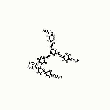 O=C(O)c1ccc(-c2ccc(C(=O)O)cc2)cc1.O=C(O)c1ccc(C#Cc2cc(C#Cc3ccc(C(=O)O)cc3)cc(C#Cc3ccc(C(=O)O)cc3)c2)cc1